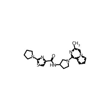 Cc1cn2cccc2c(N2CCC(NC(=O)c3csc(N4CCCC4)n3)C2)n1